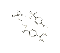 CC[N+](C)(C)CCCNC(=O)c1ccc(N(C)C)cc1.Cc1ccc(S(=O)(=O)[O-])cc1